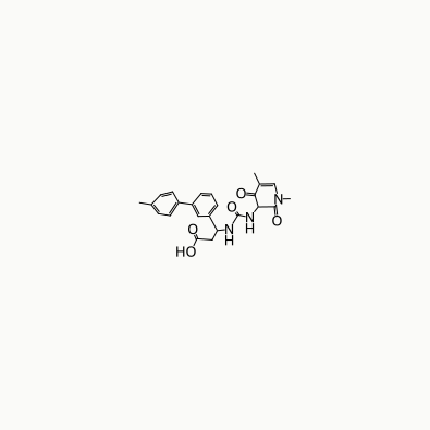 CC1=CN(C)C(=O)C(NC(=O)NC(CC(=O)O)c2cccc(-c3ccc(C)cc3)c2)C1=O